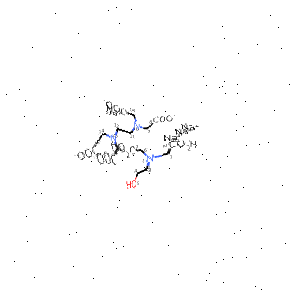 O=C(O)CN(CCO)CC(=O)O.O=C([O-])CN(CCN(CC(=O)[O-])CC(=O)[O-])CC(=O)[O-].[Na+].[Na+].[Na+].[Na+]